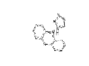 c1ccc2nc3ccccc3nc2c1.c1nnn[nH]1